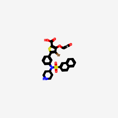 O=C=COc1c(C(=O)O)sc(-c2cccc(N(C3CCNCC3)S(=O)(=O)c3ccc4ccccc4c3)c2)c1Br